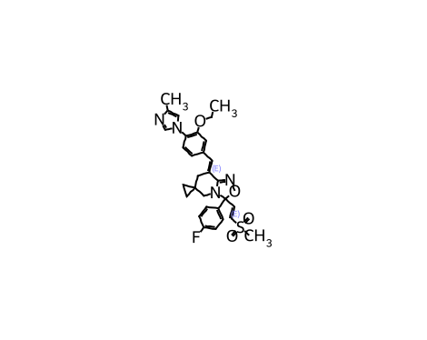 CCOc1cc(/C=C2\CC3(CC3)CN3C2=NOC3(/C=C/S(C)(=O)=O)c2ccc(F)cc2)ccc1-n1cnc(C)c1